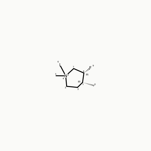 C[C@@H]1CC[N+](C)(I)C[C@@H]1F